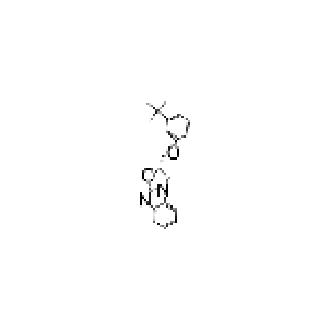 CC(C)(C)c1cccc(OC[C@@H]2Cn3c(nc4ccccc43)O2)c1